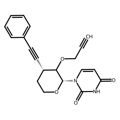 C#CCOC1[C@H](n2ccc(=O)[nH]c2=O)OCC[C@@H]1C#Cc1ccccc1